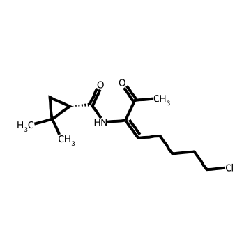 CC(=O)/C(=C\CCCCCl)NC(=O)[C@H]1CC1(C)C